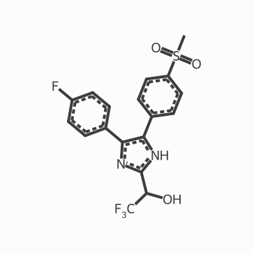 CS(=O)(=O)c1ccc(-c2[nH]c(C(O)C(F)(F)F)nc2-c2ccc(F)cc2)cc1